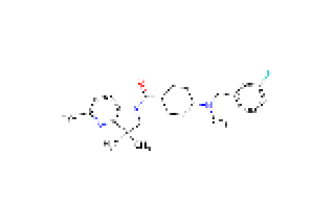 Cc1ccc2c(n1)C(C)(C)CN2C(=O)[C@H]1CC[C@H](N(C)Cc2cccc(F)c2)CC1